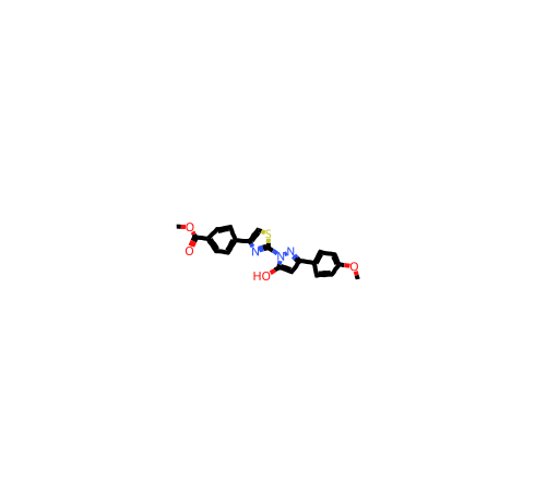 COC(=O)c1ccc(-c2csc(-n3nc(-c4ccc(OC)cc4)cc3O)n2)cc1